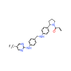 C=CC(=O)N1CCCC1c1ccc(NCc2ccc(Nc3ncc(C(F)(F)F)cn3)cc2)cc1